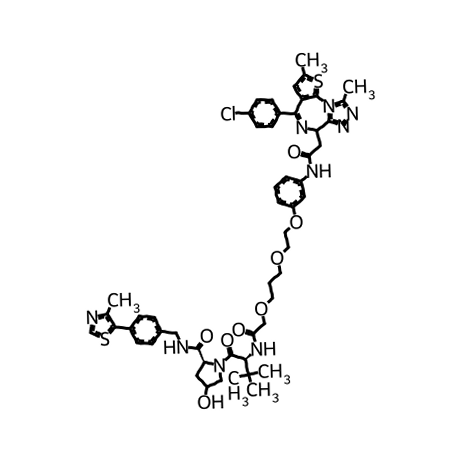 Cc1cc2c(s1)-n1c(C)nnc1C(CC(=O)Nc1cccc(OCCOCCCOCC(=O)N[C@H](C(=O)N3CC(O)C[C@H]3C(=O)NCc3ccc(-c4scnc4C)cc3)C(C)(C)C)c1)N=C2c1ccc(Cl)cc1